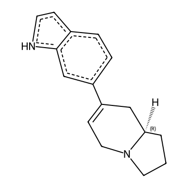 C1=C(c2ccc3cc[nH]c3c2)C[C@H]2CCCN2C1